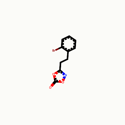 O=c1onc(CCc2ccccc2Br)o1